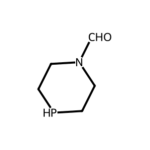 O=CN1CCPCC1